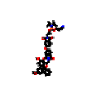 COc1ccc(C(OCCN2C(=O)c3ccc(Oc4ccc5c(c4)C(=O)N(CCOP(OCCC#N)N(C(C)C)C(C)C)C5=O)cc3C2=O)(c2ccccc2)c2ccc(OC)cc2)cc1